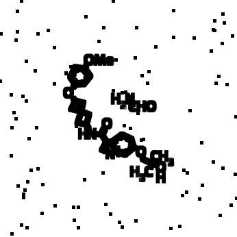 COc1ccc(OC2CC3(CC(NC(=O)c4cnn5cc(OCC(C)(C)O)ccc45)C3)C2)cc1.NC=O